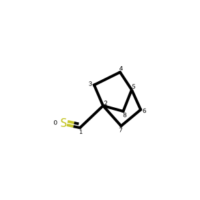 S=CC12CCC(CC1)C2